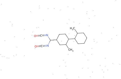 CC1CCCCC1C1CCC(C(N=C=O)N=C=O)CC1C